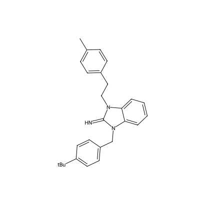 Cc1ccc(CCn2c(=N)n(Cc3ccc(C(C)(C)C)cc3)c3ccccc32)cc1